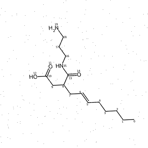 CCCCC/C=C/CC(CC(=O)O)C(=O)NCCCN